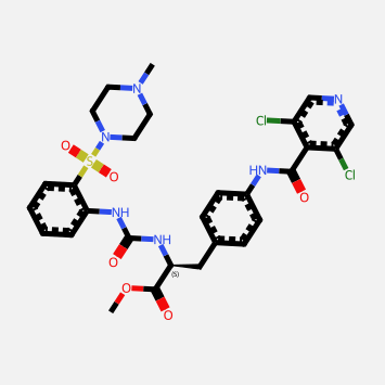 COC(=O)[C@H](Cc1ccc(NC(=O)c2c(Cl)cncc2Cl)cc1)NC(=O)Nc1ccccc1S(=O)(=O)N1CCN(C)CC1